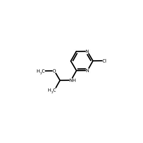 COC(C)Nc1ccnc(Cl)n1